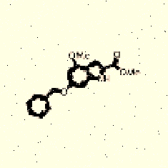 COC(=O)c1cc2c(OC)cc(OCc3ccccc3)cc2[nH]1